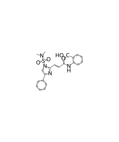 CN(C)S(=O)(=O)n1cc(-c2ccccc2)nc1/C=C/C(=O)Nc1ccccc1C(=O)O